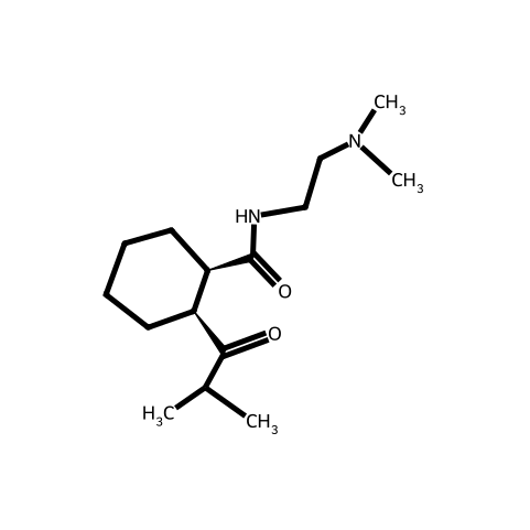 CC(C)C(=O)[C@H]1CCCC[C@H]1C(=O)NCCN(C)C